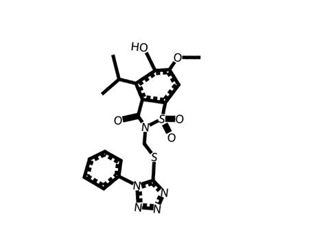 COc1cc2c(c(C(C)C)c1O)C(=O)N(CSc1nnnn1-c1ccccc1)S2(=O)=O